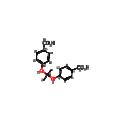 CC(C)(Oc1ccc(C(=O)O)cc1)Oc1ccc(C(=O)O)cc1